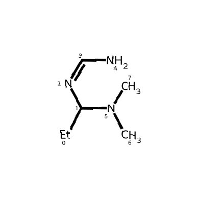 CCC(/N=C\N)N(C)C